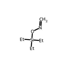 C=NO[Si](CC)(CC)CC